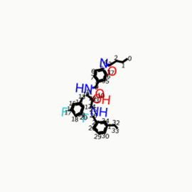 CCCc1nc2ccc(C(=O)N[C@@H](Cc3cc(F)cc(F)c3)[C@H](O)CNCc3cccc(CC)c3)cc2o1